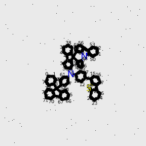 c1ccc(C2(c3ccc(N(c4ccc(-c5cccc6c5sc5ccccc56)cc4)c4ccc5c(c4)C4(c6ccccc6-5)c5ccccc5-n5c6ccccc6c6cccc4c65)cc3)c3ccccc3-c3ccccc32)cc1